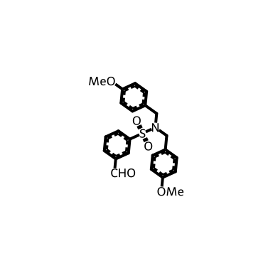 COc1ccc(CN(Cc2ccc(OC)cc2)S(=O)(=O)c2cccc(C=O)c2)cc1